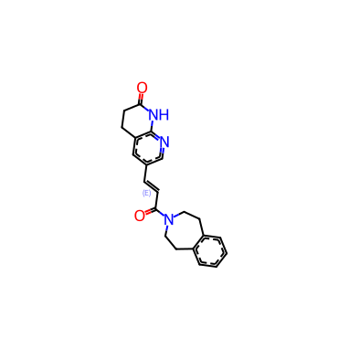 O=C1CCc2cc(/C=C/C(=O)N3CCc4ccccc4CC3)cnc2N1